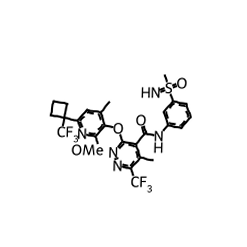 COc1nc(C2(C(F)(F)F)CCC2)cc(C)c1Oc1nnc(C(F)(F)F)c(C)c1C(=O)Nc1cccc(S(C)(=N)=O)c1